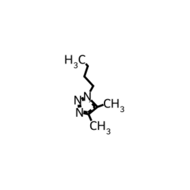 CCCCn1nnc(C)c1C